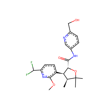 COc1nc(C(F)F)ccc1[C@H]1[C@H](C(=O)Nc2ccc(CO)nc2)OC(C)(C)[C@H]1C